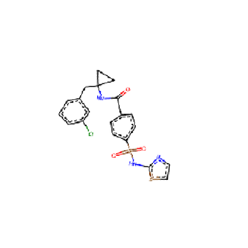 O=C(NC1(Cc2cccc(Cl)c2)CC1)c1ccc(S(=O)(=O)Nc2nccs2)cc1